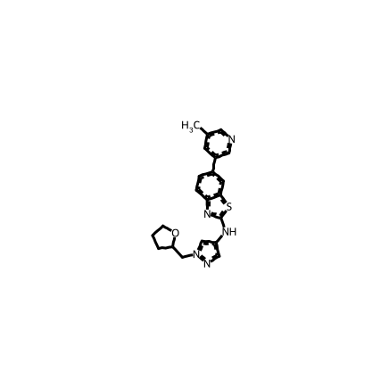 Cc1cncc(-c2ccc3nc(Nc4cnn(CC5CCCO5)c4)sc3c2)c1